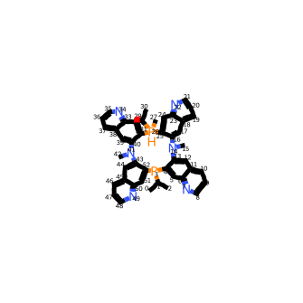 CC(C)P1c2cc3ncccc3cc2N(C)c2cc3cccnc3cc2[PH](C)(C(C)C)c2cc3ncccc3cc2N(C)c2cc3cccnc3cc21